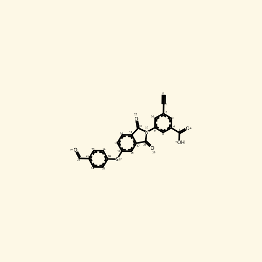 C#Cc1cc(C(=O)O)cc(N2C(=O)c3ccc(Sc4ccc(C=O)cc4)cc3C2=O)c1